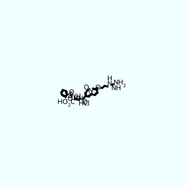 Cl.N=C(N)NCCCOc1ccc2cc(C(=O)NC[C@H](NS(=O)(=O)c3ccccc3)C(=O)O)cc(=O)n2c1